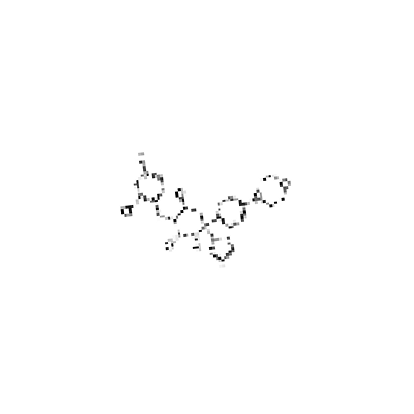 O=C1CC(c2ccc(N3CCOCC3)cc2)(c2ccsc2)NC(=O)C1Sc1ccc(Cl)cc1Cl